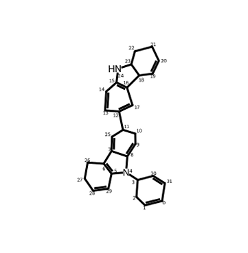 C1=CCC(n2c3c(c4c2=CCC(c2ccc5c(c2)C2C=CCCC2N5)C=4)CCC=C3)C=C1